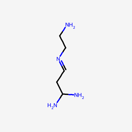 NCCN=CCC(N)N